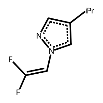 CC(C)c1cnn(C=C(F)F)c1